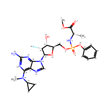 CC(C)OC(=O)[C@H](C)NP(=O)(OC[C@H]1O[C@@H](n2cnc3c(N(C)C4CC4)nc(N)nc32)[C@H](F)[C@@H]1O)Oc1ccccc1